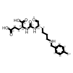 O=C[C@H](CCCCNCc1ccc(I)cc1)NC(=O)N[C@@H](CCC(=O)O)C(=O)O